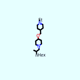 CCCCCCC(C)CN1CCC(OCC2CCN(CC)CC2)CC1